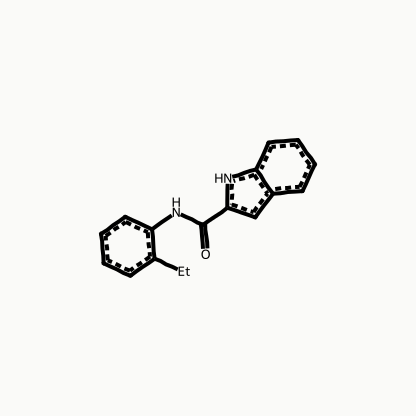 CCc1ccccc1NC(=O)c1cc2ccccc2[nH]1